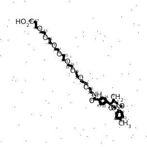 C=C(CS(=O)(=O)c1ccc(C)cc1)C(=O)c1ccc(C(=O)NCCOCCOCCOCCOCCOCCOCCOCCOCCC(=O)O)cc1